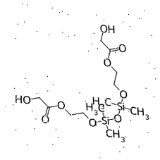 C[Si](C)(OCCOC(=O)CO)O[Si](C)(C)OCCOC(=O)CO